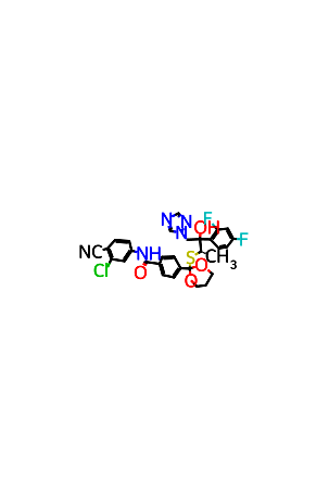 C[C@H](SC1(c2ccc(C(=O)Nc3ccc(C#N)c(Cl)c3)cc2)OCCCO1)C(O)(Cn1cncn1)c1ccc(F)cc1F